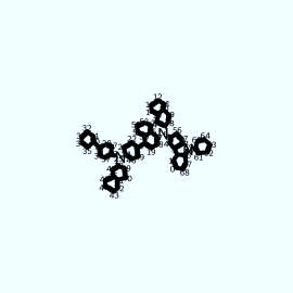 C1=CC2c3cc(N(c4ccc5ccccc5c4)c4ccc(-c5ccc(N(c6ccc(-c7ccccc7)cc6)c6ccc7ccccc7c6)cc5)c5ccccc45)ccc3N(c3ccccc3)C2C=C1